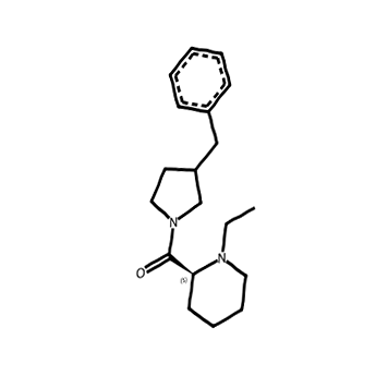 CCN1CCCC[C@H]1C(=O)N1CCC(Cc2ccccc2)C1